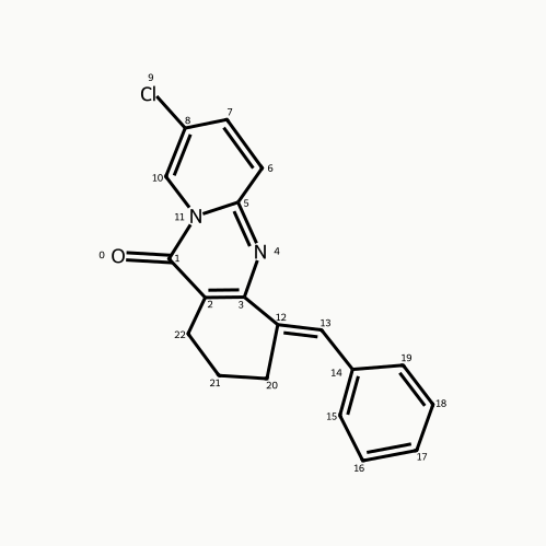 O=c1c2c(nc3ccc(Cl)cn13)C(=Cc1ccccc1)CCC2